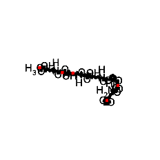 CC(=O)N(O)CCCCCNC(=O)CCC(=O)N(O)CCCCCNC(=O)CCC(=O)N(O)CCCCCNC(=O)COc1cccc(C(=O)NCC(=O)OC(=O)C(N)CCCCN2C(=O)C=CC2=O)c1